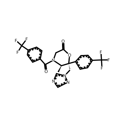 C[C@H]1N(C(=O)c2ccc(C(F)(F)F)cc2)CC(=O)O[C@@]1(Cn1cncn1)c1ccc(C(F)(F)F)cc1